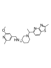 COc1cc(CN[C@H]2CCCN(C(C)c3ccc4sc(C)nc4n3)C2)cc(C)n1